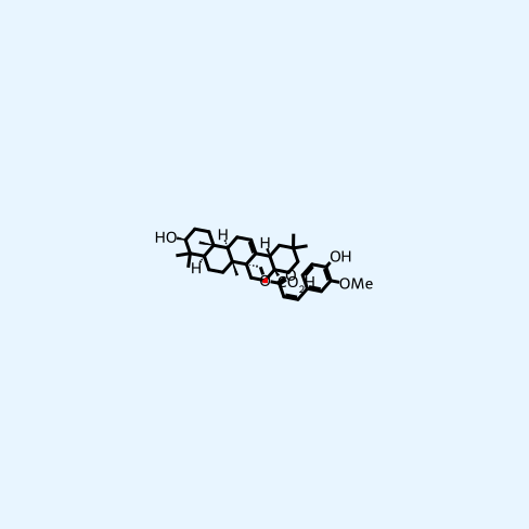 COc1cc(/C=C\C(=O)OC[C@@]23CC[C@@]4(C(=O)O)CCC(C)(C)C[C@H]4C2=CC[C@@H]2[C@@]4(C)CC[C@H](O)C(C)(C)[C@@H]4CC[C@]23C)ccc1O